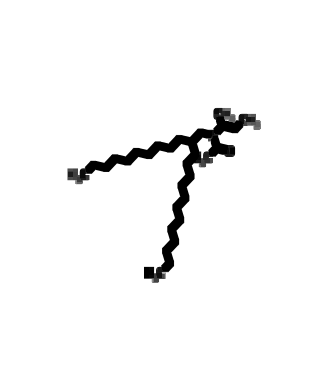 C/C=C(\C)N(CC(CCCCCCCCCC)CCCCCCCCCCCC)C(C)=O